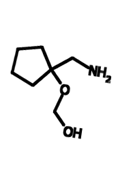 NCC1(OCO)CCCC1